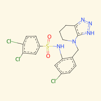 O=S(=O)(Nc1cc(Cl)ccc1CN1CCCc2nn[nH]c21)c1ccc(Cl)c(Cl)c1